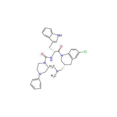 CN(C)C[C@H]1Cc2cc(Cl)ccc2N(C(=O)[C@@H](Cc2c[nH]c3ccccc23)NC(=O)N2CCN(c3ccccc3)CC2)C1